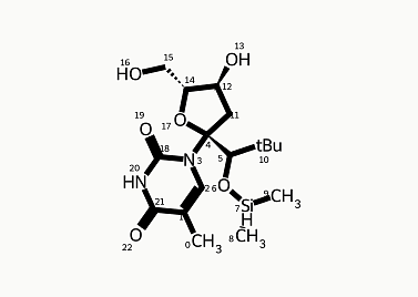 Cc1cn([C@@]2(C(O[SiH](C)C)C(C)(C)C)C[C@H](O)[C@@H](CO)O2)c(=O)[nH]c1=O